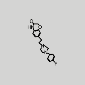 O=C1COc2cc(CCN3CCN(c4ccc(F)cc4)CC3)ccc2N1